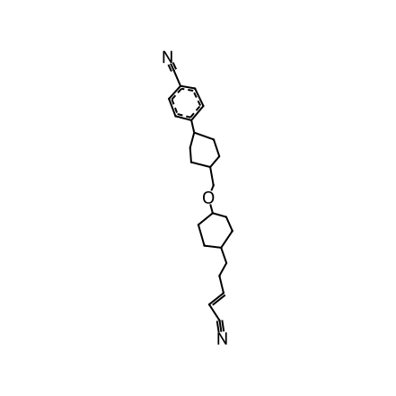 N#CC=CCCC1CCC(OCC2CCC(c3ccc(C#N)cc3)CC2)CC1